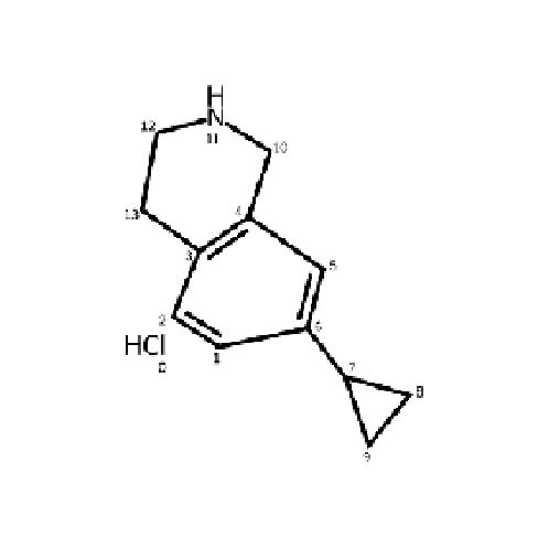 Cl.c1cc2c(cc1C1CC1)CNCC2